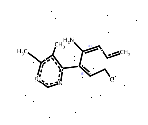 C=C/C=C(N)\C(=C/CCl)c1ncnc(C)c1C